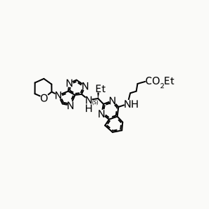 CCOC(=O)CCCNc1nc([C@H](CC)Nc2ncnc3c2ncn3C2CCCCO2)nc2ccccc12